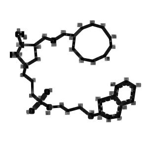 CN1NN(CCCS(=O)(=O)OCCCOc2ccc3ccccc3c2)CC1COCC1CCCCCCCCC1